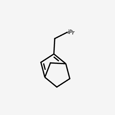 CC(C)CC1=C2CCC(=C1)C2